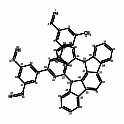 Cc1cc(N=P)cc(-c2cc(-c3cc(N=P)cc(N=P)c3)nc(-n3c4ccccc4c4ccc5c6ccccc6n(-c6ccccc6)c5c43)n2)c1